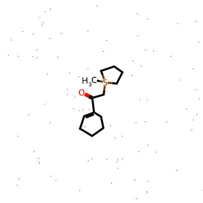 CS1(CC(=O)C2=CCCCC2)CCCC1